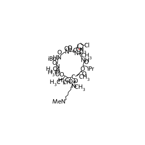 C/C=C(\C)C1OC(=O)C(C)(C)NC(=O)C([C@H](C)CC)NC(=O)CN(C)C(=O)C(Cc2ccc(Cl)cc2)N(C)C(=O)C(C)NC(=O)C(CC(C)C)OC(=O)C(C)=CCC(OC(=O)N(C)CCCCCCNC)C1C